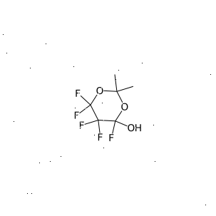 CC1(C)OC(O)(F)C(F)(F)C(F)(F)O1